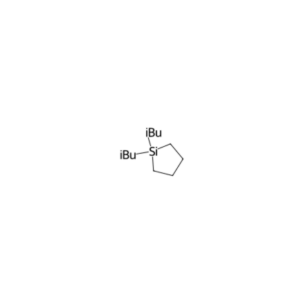 CCC(C)[Si]1(C(C)CC)CCCC1